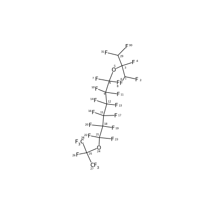 FC(F)C(F)(OC(F)(F)C(F)(F)C(F)(F)C(F)(F)C(F)(F)C(F)(F)OC(F)(C(F)(F)F)C(F)(F)F)C(F)F